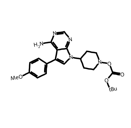 COc1ccc(-c2cn(C3CCN(OC(=O)OC(C)(C)C)CC3)c3ncnc(N)c23)cc1